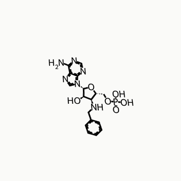 Nc1ncnc2c1ncn2[C@@H]1O[C@H](COP(=O)(O)O)[C@@H](NCc2ccccc2)[C@H]1O